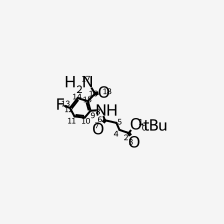 CC(C)(C)OC(=O)CCC(=O)Nc1ccc(F)cc1C(N)=O